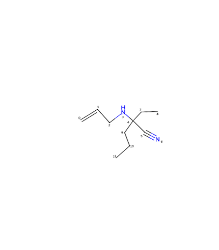 C=CCNC(C#N)(CC)CCC